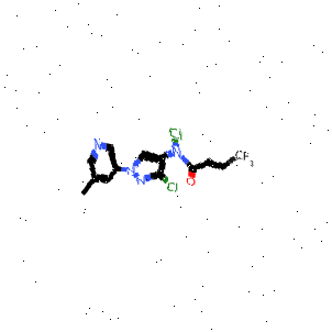 Cc1cncc(-n2cc(N(Cl)C(=O)CCC(F)(F)F)c(Cl)n2)c1